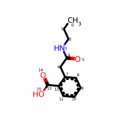 CCCNC(=O)Cc1ccccc1C(=O)O